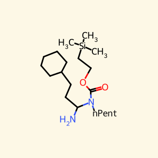 CCCCCN(C(=O)OCC[Si](C)(C)C)C(N)CCC1CCCCC1